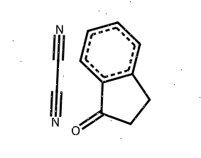 N#CC#N.O=C1CCc2ccccc21